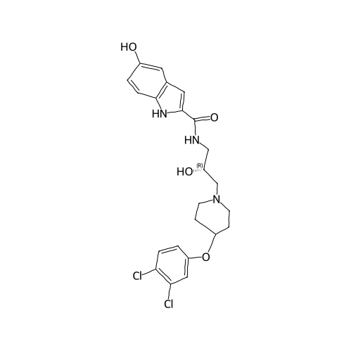 O=C(NC[C@@H](O)CN1CCC(Oc2ccc(Cl)c(Cl)c2)CC1)c1cc2cc(O)ccc2[nH]1